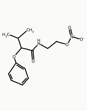 CC(C)C(Oc1ccccc1)C(=O)NCCO[N+](=O)[O-]